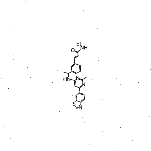 CCNC(=O)C=Cc1cccc(C(C)Nc2cc(-c3ccc4ncsc4c3)nc(C)n2)c1